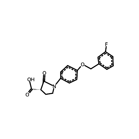 O=C(O)[C@H]1CCN(c2ccc(OCc3cccc(F)c3)cc2)C1=O